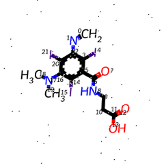 C=Nc1c(I)c(C(=O)NCCC(=O)O)c(I)c(N(C)C)c1I